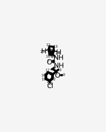 COC(C)(CNC(=O)N[C@H]1C[C@@H]2CC[C@H]1C2)c1cccc(Cl)c1